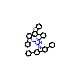 c1ccc(-c2ccc3c4ccc(-c5ccccc5)cc4n(-c4nc(-c5ccccc5-c5cccc6sc7ccccc7c56)nc(-n5c6ccccc6c6ccccc65)n4)c3c2)cc1